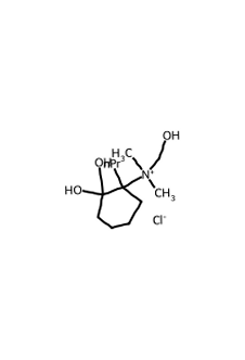 CCCC1([N+](C)(C)CO)CCCCC1(O)O.[Cl-]